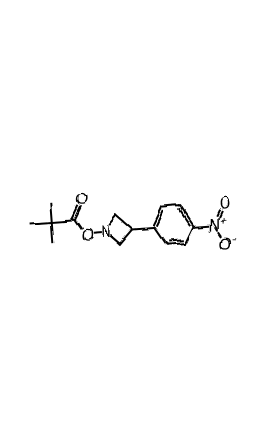 CC(C)(C)C(=O)ON1CC(c2ccc([N+](=O)[O-])cc2)C1